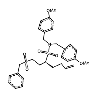 C=CCC[C@@H](CCS(=O)(=O)Cc1ccccc1)S(=O)(=O)N(Cc1ccc(OC)cc1)Cc1ccc(OC)cc1